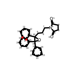 O=C1CCC(=O)N1CCCC1(c2ccccc2)OC1(c1ccccc1)c1ccccc1